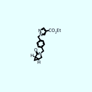 CCOC(=O)c1cnn(Cc2ccc(CN3C[C@@H]4C[C@@H]4C3=O)cc2)c1